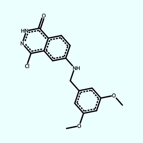 COc1cc(CNc2ccc3c(=O)[nH]nc(Cl)c3c2)cc(OC)c1